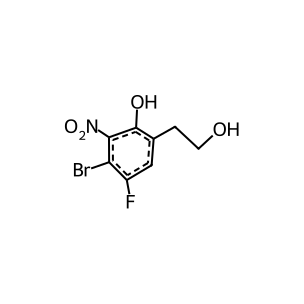 O=[N+]([O-])c1c(O)c(CCO)cc(F)c1Br